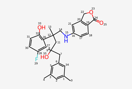 Cc1cc(C)cc(CC(C)(O)CC(C)(CNc2ccc3c(c2)COC3=O)c2cc(F)ccc2O)c1